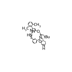 Cc1cccc(C)c1-c1cc2nc(n1)NSc1cccc(c1)C(=O)N(CC1CCNCC1)[C@H](CC(C)(C)C)CO2